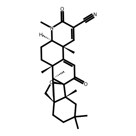 CN1C(=O)C(C#N)=C[C@]2(C)C3=CC(=O)[C@]45OC[C@@]6(CCC(C)(C)C[C@]64C)CC[C@@]5(C)[C@]3(C)CC[C@@H]12